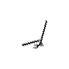 CCCCCCCCCCCCCCCCOCC(COP(=O)(O)CCC(O)CO)OCCCCCCCCCCCCCCCC